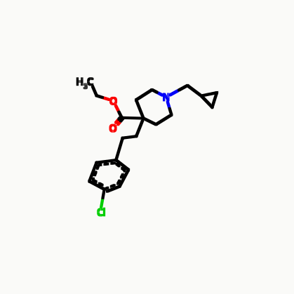 CCOC(=O)C1(CCc2ccc(Cl)cc2)CCN(CC2CC2)CC1